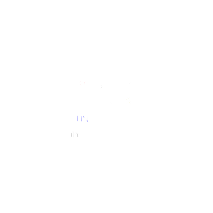 CC(C)N/C(=C1/Sc2ccccc2C1=O)c1ccccc1